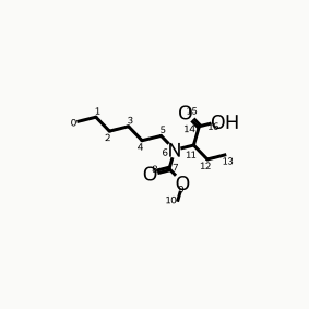 CCCCCCN(C(=O)OC)C(CC)C(=O)O